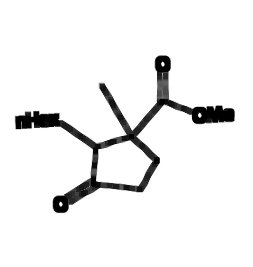 CCCCCCC1C(=O)CCC1(C)C(=O)OC